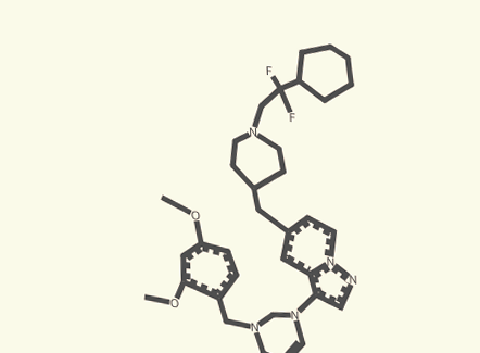 COc1ccc(CN2CC=CN(c3cnn4ccc(CC5CCN(CC(F)(F)C6CCCCC6)CC5)cc34)C2)c(OC)c1